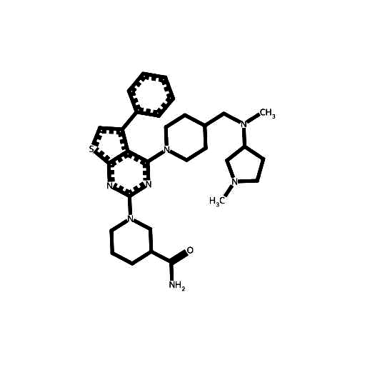 CN1CCC(N(C)CC2CCN(c3nc(N4CCCC(C(N)=O)C4)nc4scc(-c5ccccc5)c34)CC2)C1